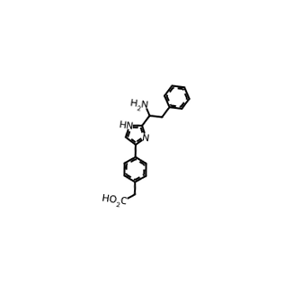 NC(Cc1ccccc1)c1nc(-c2ccc(CC(=O)O)cc2)c[nH]1